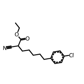 CCOC(=O)C(C#N)CCCCCc1ccc(Cl)cc1